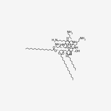 CCCCCCCCCCCCCCCC(=O)OC[C@H](CSC[C@H](NC(=O)CCCCCCCCC)C(=O)N[C@@H](CO)C(=O)NC(CCCCN)C(=O)N[C@@H](CCCCN)C(=O)NC(CCCCN)C(=O)N[C@H](C=O)CCCCN)OC(=O)CCCCCCCCCCCCCCC